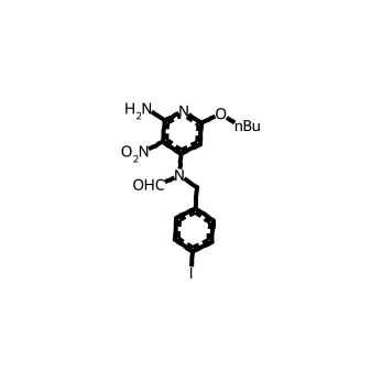 CCCCOc1cc(N(C=O)Cc2ccc(I)cc2)c([N+](=O)[O-])c(N)n1